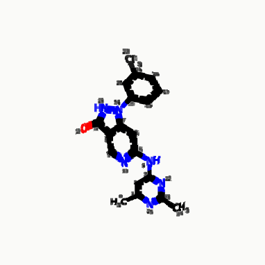 Cc1cc(Nc2cc3c(cn2)c(=O)[nH]n3-c2cccc(C(F)(F)F)c2)nc(C)n1